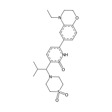 CCN1CCOc2ccc(-c3ccc(C(C(C)C)N4CCS(=O)(=O)CC4)c(=O)[nH]3)cc21